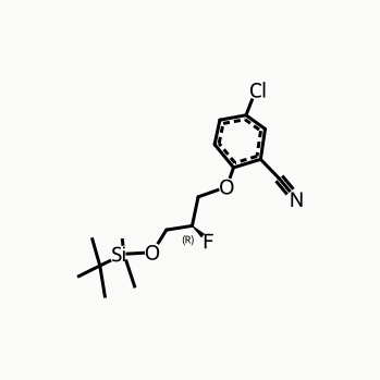 CC(C)(C)[Si](C)(C)OC[C@H](F)COc1ccc(Cl)cc1C#N